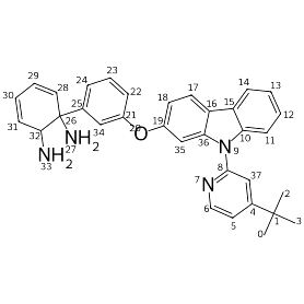 CC(C)(C)c1ccnc(-n2c3ccccc3c3ccc(Oc4cccc(C5(N)C=CC=CC5N)c4)cc32)c1